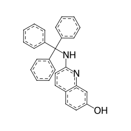 Oc1ccc2ccc(NC(c3ccccc3)(c3ccccc3)c3ccccc3)nc2c1